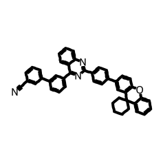 N#Cc1cccc(-c2cccc(-c3nc(-c4ccc(-c5ccc6c(c5)C5(CCCCC5)c5ccccc5O6)cc4)nc4ccccc34)c2)c1